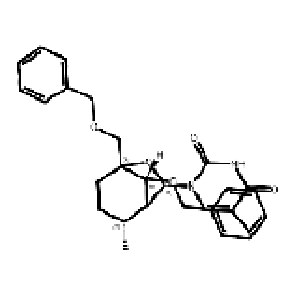 Cc1cn([C@@H]2O[C@@]3(COCc4ccccc4)CC[C@@H](C)C2[C@H]3OCc2ccccc2)c(=O)[nH]c1=O